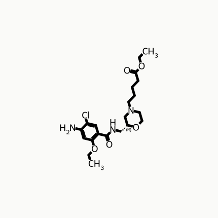 CCOC(=O)CCCCN1CCO[C@H](CNC(=O)c2cc(Cl)c(N)cc2OCC)C1